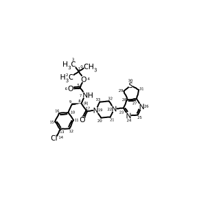 CC(C)(C)OC(=O)N[C@H](Cc1ccc(Cl)cc1)C(=O)N1CCN(c2ncnc3c2CSC3)CC1